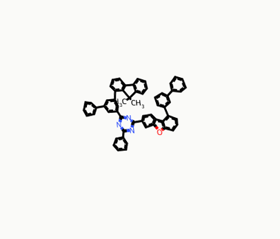 CC1(C)c2ccccc2-c2cccc(-c3cc(-c4ccccc4)cc(-c4nc(-c5ccccc5)nc(-c5ccc6c(c5)oc5cccc(-c7cccc(-c8ccccc8)c7)c56)n4)c3)c21